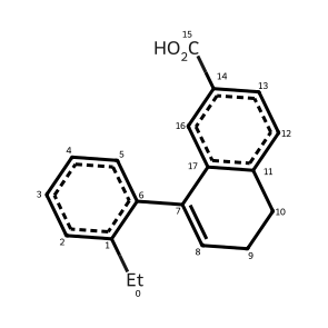 CCc1ccccc1C1=CCCc2ccc(C(=O)O)cc21